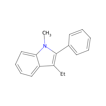 CCc1c(-c2ccccc2)n(C)c2ccccc12